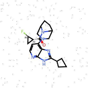 O=C([C@@H]1C[C@H]1F)N1C2CCC1CN(c1ccnc3[nH]c(C4CCC4)nc13)C2